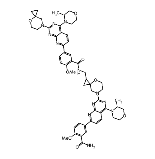 COc1ccc(-c2ccc3c(N4CCOC[C@@H]4C)nc(N4CCOC5(CC5CNC(=O)c5cc(-c6ccc7c(N8CCOC[C@@H]8C)nc(N8CCOC9(CC9)C8)nc7n6)ccc5OC)C4)nc3n2)cc1C(N)=O